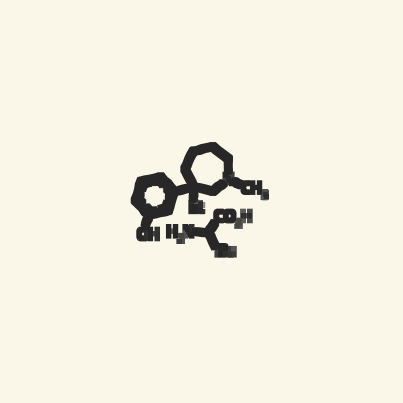 CCC(C)C(N)C(=O)O.CCC1(c2cccc(O)c2)CCCCN(C)C1